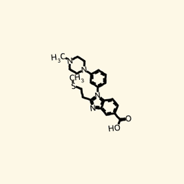 CSCCc1nc2cc(C(=O)O)ccc2n1-c1cccc(N2CCN(C)CC2)c1